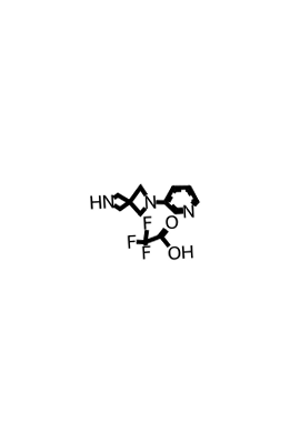 O=C(O)C(F)(F)F.c1cncc(N2CC3(CNC3)C2)c1